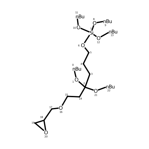 CCCCOC(CCCO[Si](OCCCC)(OCCCC)OCCCC)(CCOCC1CO1)OCCCC